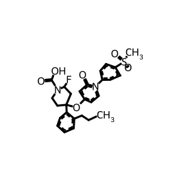 CCCc1ccccc1C1(Oc2ccn(-c3ccc(S(C)(=O)=O)cc3)c(=O)c2)CCN(C(=O)O)C(F)C1